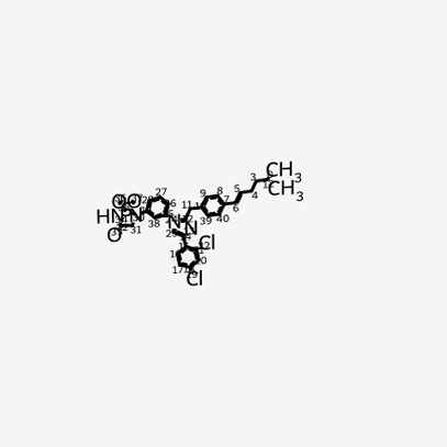 CC(C)CCC=Cc1ccc(Cc2nc(-c3ccc(Cl)cc3Cl)cn2-c2cccc(N3CC(=O)NS3(=O)=O)c2)cc1